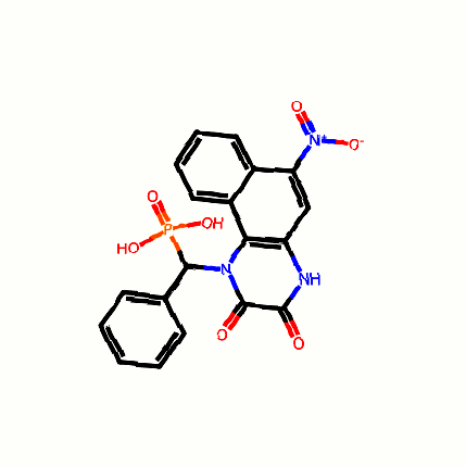 O=c1[nH]c2cc([N+](=O)[O-])c3ccccc3c2n(C(c2ccccc2)P(=O)(O)O)c1=O